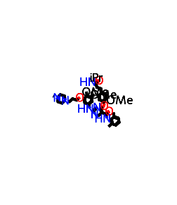 COc1cc(CCC(=O)NC(C)C)ccc1Oc1nc(Nc2cc(OC)c(OC)c(OCCCN3CCN(C)CC3)c2)ncc1C(=O)Nc1c(C)cccc1C